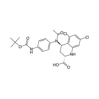 CC(=O)N(c1ccc(NC(=O)OC(C)(C)C)cc1)[C@@H]1C[C@@H](C(=O)O)Nc2cc(Cl)cc(Cl)c21